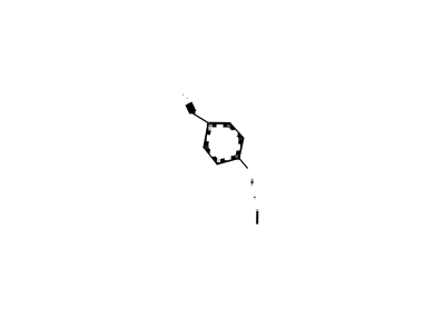 COOSc1ccc(C#N)cc1